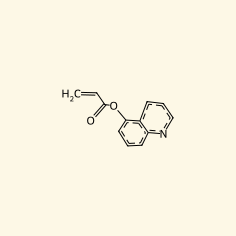 C=CC(=O)Oc1cccc2ncccc12